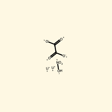 O=C([O-])C(=O)[O-].O=[N+]([O-])O.[Li+].[Li+]